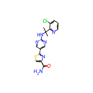 CC(C)(Nc1ncc(-c2nc(C(N)=O)cs2)cn1)c1ncccc1Cl